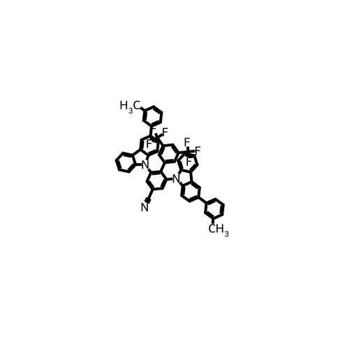 Cc1cccc(-c2ccc3c(c2)c2ccccc2n3-c2cc(C#N)cc(-n3c4ccccc4c4cc(-c5cccc(C)c5)ccc43)c2-c2cc(C(F)(F)F)cc(C(F)(F)F)c2)c1